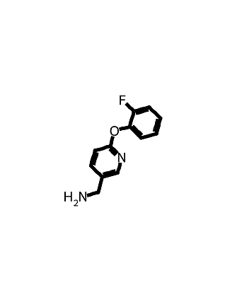 NCc1ccc(Oc2ccccc2F)nc1